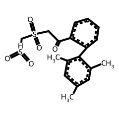 Cc1cc(C)c(-c2ccccc2C(=O)CS(=O)(=O)C[SH](=O)=O)c(C)c1